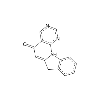 O=C1C=C2Cc3ccccc3[SH]2c2ncncc21